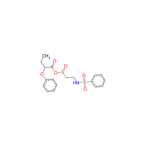 CCC(Oc1ccccc1)C(=O)OS(=O)CCNS(=O)(=O)c1ccccc1